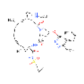 COc1nnc(O[C@@H]2C[C@H]3C(=O)N[C@]4(C(=O)NS(=O)(=O)C5CC5)C[C@H]4C=CCC[C@H](C)C[C@@H](C)[C@H](NC(=O)O)C(=O)N3C2)c2ccccc12